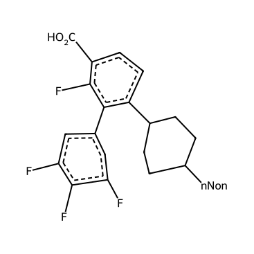 CCCCCCCCCC1CCC(c2ccc(C(=O)O)c(F)c2-c2cc(F)c(F)c(F)c2)CC1